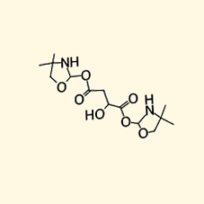 CC1(C)COC(OC(=O)CC(O)C(=O)OC2NC(C)(C)CO2)N1